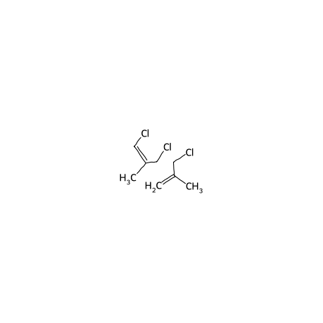 C=C(C)CCl.CC(=CCl)CCl